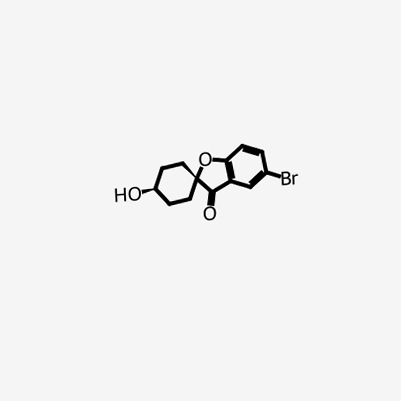 O=C1c2cc(Br)ccc2O[C@]12CC[C@H](O)CC2